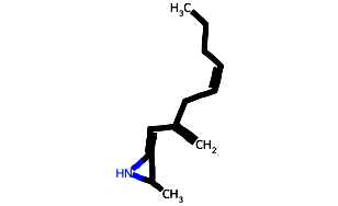 C=C(/C=C1/NC1C)C/C=C\CCC